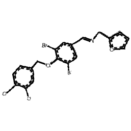 Clc1ccc(COc2c(Br)cc(C=NCc3ccco3)cc2Br)cc1Cl